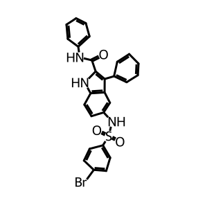 O=C(Nc1ccccc1)c1[nH]c2ccc(NS(=O)(=O)c3ccc(Br)cc3)cc2c1-c1ccccc1